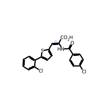 O=C(O)/C(=C/c1ccc(-c2ccccc2Cl)s1)NC(=O)c1ccc(Cl)cc1